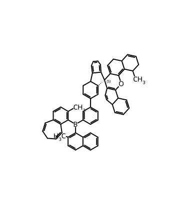 Cc1ccc2c(c1B(c1cccc(C3=CCC4C(=C3)[C@@]3(C5=CCC6C=CCC(C)C6=C5OC5=C3C=CC3C=CC=CC53)c3ccccc34)c1)c1c(C)ccc3ccccc13)C=CCC=C2